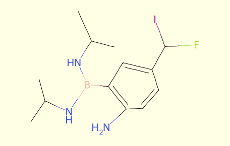 CC(C)NB(NC(C)C)c1cc(C(F)I)ccc1N